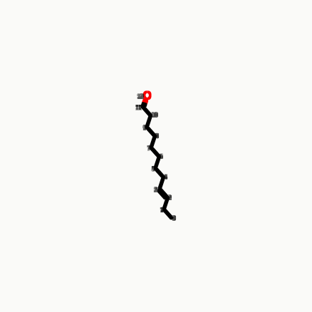 CCC=CCCCCCCCC=O